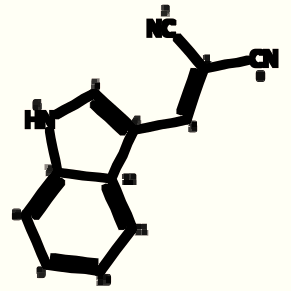 N#CC(C#N)=Cc1c[nH]c2ccccc12